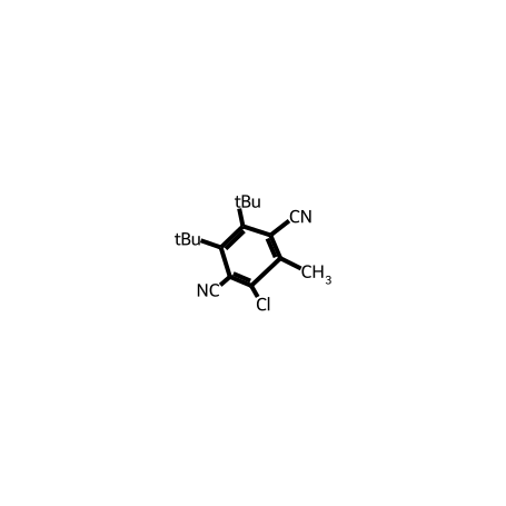 Cc1c(Cl)c(C#N)c(C(C)(C)C)c(C(C)(C)C)c1C#N